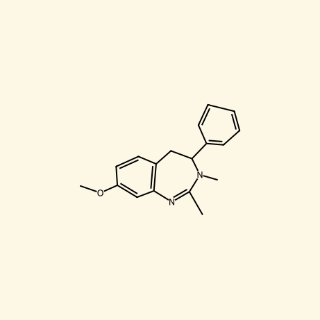 COc1ccc2c(c1)N=C(C)N(C)C(c1ccccc1)C2